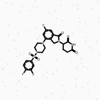 O=C1CCC(N2Cc3c(cc(F)cc3N3CCN(S(=O)(=O)c4ccc(F)c(F)c4)CC3)C2=O)C(=O)N1